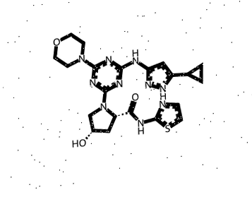 O=C(Nc1nccs1)[C@@H]1C[C@H](O)CN1c1nc(Nc2cc(C3CC3)[nH]n2)nc(N2CCOCC2)n1